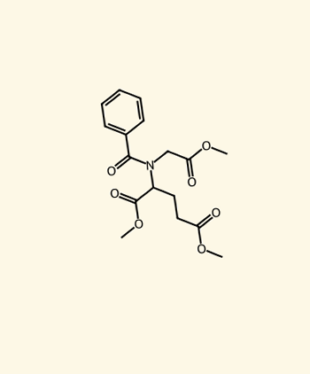 COC(=O)CCC(C(=O)OC)N(CC(=O)OC)C(=O)c1ccccc1